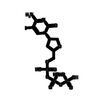 Nc1nc(=O)n(C2COC(COP(=O)(O)OP(=O)(O)OP(=O)(O)O)C2)cc1I